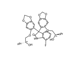 CCC[C@@H](O)COc1cc2c(cc1C1(c3cc4c(cc3OC[C@H](O)CCC)OCO4)C(=O)Nc3c(F)cccc31)OCO2